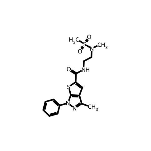 Cc1nn(-c2ccccc2)c2sc(C(=O)NCCN(C)S(C)(=O)=O)cc12